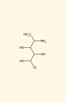 CCC(O)C(O)C(O)C(N)C(=O)O